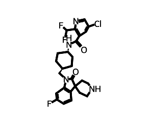 O=C(N[C@H]1CC[C@H](CN2C(=O)C3(CCNCC3)c3ccc(F)cc32)CC1)c1cc(Cl)cnc1C(F)F